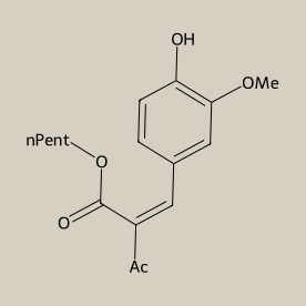 CCCCCOC(=O)C(=Cc1ccc(O)c(OC)c1)C(C)=O